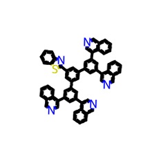 c1ccc2c(-c3cc(-c4cc(-c5cc(-c6cncc7ccccc67)cc(-c6cncc7ccccc67)c5)cc(-c5nc6ccccc6s5)c4)cc(-c4cncc5ccccc45)c3)cncc2c1